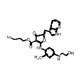 Cc1cc(NCCO)ccc1NC1=C(C(=O)OCCCO)C(=O)/C(=C/c2c[nH]c3ncccc23)O1